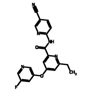 CCc1cc(Oc2cncc(F)c2)cc(C(=O)Nc2ccc(C#N)cn2)n1